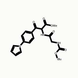 COC(=O)C(NC(=O)CNC(=O)OC(C)(C)C)C(=O)c1ccc(-n2cccc2)cc1